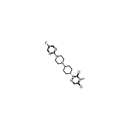 Cn1c(=O)cnn([C@H]2CC[C@H](N3CCN(c4ncc(F)cn4)CC3)CC2)c1=O